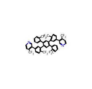 FC(F)(F)c1ccncc1-c1ccc(C(F)(F)F)c(-c2cc(-c3ccccc3C(F)(F)F)c(-c3cc(-c4cnccc4C(F)(F)F)ccc3C(F)(F)F)cc2-c2ccccc2C(F)(F)F)c1